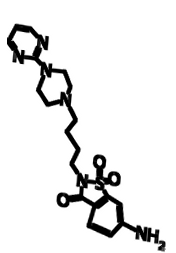 Nc1ccc2c(c1)S(=O)(=O)N(CCCCN1CCN(c3ncccn3)CC1)C2=O